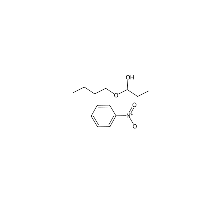 CCCCOC(O)CC.O=[N+]([O-])c1ccccc1